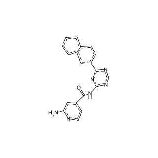 Nc1cc(C(=O)Nc2ncnc(-c3ccc4ccccc4c3)n2)ccn1